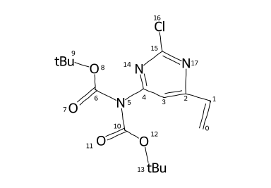 C=Cc1cc(N(C(=O)OC(C)(C)C)C(=O)OC(C)(C)C)nc(Cl)n1